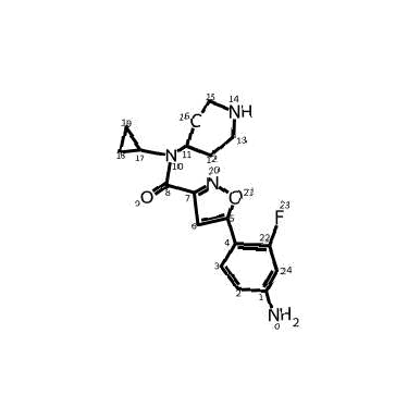 Nc1ccc(-c2cc(C(=O)N(C3CCNCC3)C3CC3)no2)c(F)c1